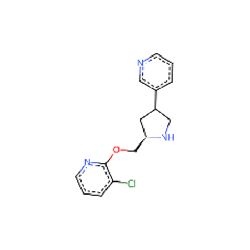 Clc1cccnc1OC[C@H]1CC(c2cccnc2)CN1